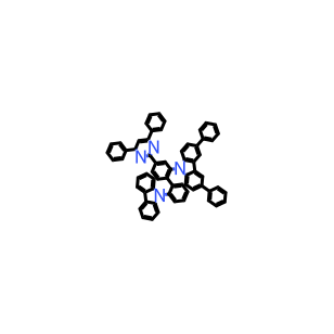 c1ccc(-c2ccc3c(c2)c2cc(-c4ccccc4)ccc2n3-c2cc(-c3nc(-c4ccccc4)cc(-c4ccccc4)n3)ccc2-c2ccccc2-n2c3ccccc3c3ccccc32)cc1